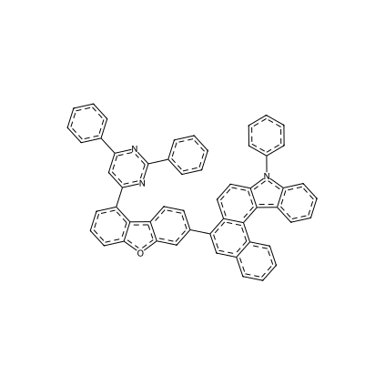 c1ccc(-c2cc(-c3cccc4oc5cc(-c6cc7ccccc7c7c6ccc6c7c7ccccc7n6-c6ccccc6)ccc5c34)nc(-c3ccccc3)n2)cc1